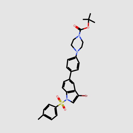 Cc1ccc(S(=O)(=O)n2cc(Br)c3cc(-c4ccc(N5CCN(C(=O)OC(C)(C)C)CC5)cc4)ccc32)cc1